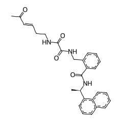 CC(=O)/C=C/CCNC(=O)C(=O)NCc1ccccc1C(=O)N[C@H](C)c1cccc2ccccc12